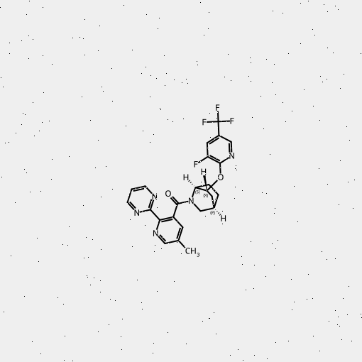 Cc1cnc(-c2ncccn2)c(C(=O)N2C[C@@H]3CC[C@H]2[C@H](Oc2ncc(C(F)(F)F)cc2F)C3)c1